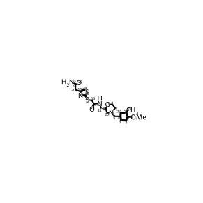 COc1ccc(CN2CCO[C@@H](CNC(=O)CSc3nc(CC(N)=O)cs3)C2)cc1C